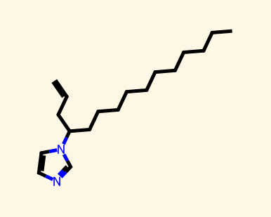 C=CCC(CCCCCCCCCCC)n1ccnc1